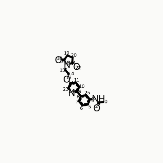 CC(=O)Nc1cccc(-c2ccc(OCCN3C(=O)CCC3=O)cn2)c1